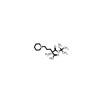 CC(C)(C)OC(=O)[C@](N)(CCCN1CCCCC1)C(=O)O